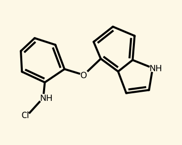 ClNc1ccccc1Oc1cccc2[nH]ccc12